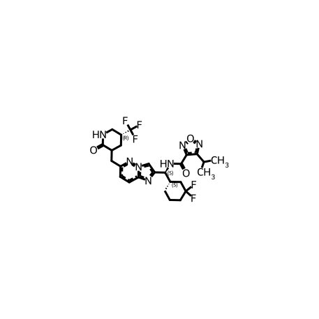 CC(C)c1nonc1C(=O)N[C@H](c1cn2nc(CC3C[C@@H](C(F)(F)F)CNC3=O)ccc2n1)[C@H]1CCCC(F)(F)C1